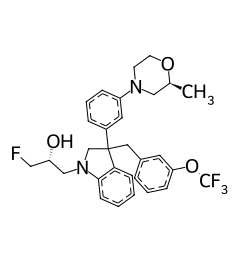 C[C@H]1CN(c2cccc(C3(Cc4cccc(OC(F)(F)F)c4)CN(C[C@@H](O)CF)c4ccccc43)c2)CCO1